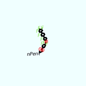 CCCCCC1COC(c2ccc(C(F)(F)Oc3ccc(-c4ccc(-c5cc(F)c(F)c(F)c5)c(F)c4)c(F)c3)c(F)c2)OC1